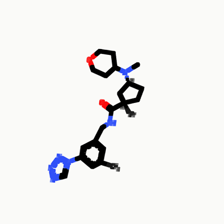 CC(C)[C@]1(C(=O)NCc2cc(-n3cnnn3)cc(C(F)(F)F)c2)CC[C@@H](N(C)C2CCOCC2)C1